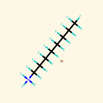 FC(F)(F)C(F)(F)C(F)(F)C(F)(F)C(F)(F)C(F)(F)C(F)(F)C(F)(F)[N+](F)(F)F.[Br-]